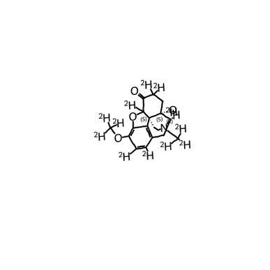 [2H]O[C@@]12CC([2H])([2H])C(=O)C3([2H])Oc4c(OC([2H])([2H])[2H])c([2H])c([2H])c5c4[C@@]31CCN(C([2H])([2H])[2H])[C@@H]2C5